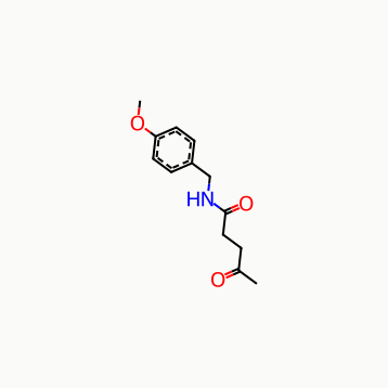 COc1ccc(CNC(=O)CCC(C)=O)cc1